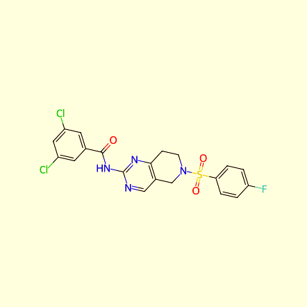 O=C(Nc1ncc2c(n1)CCN(S(=O)(=O)c1ccc(F)cc1)C2)c1cc(Cl)cc(Cl)c1